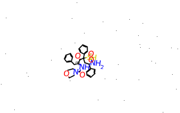 NC(CC(C(=O)[C@H](Cc1ccccc1)NC(=O)N1CCOCC1)(c1ccccc1)[SH](=O)=O)c1ccccc1